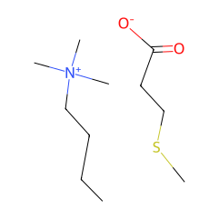 CCCC[N+](C)(C)C.CSCCC(=O)[O-]